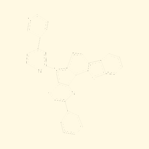 c1ccc(-c2ccc3c(n2)c2c4sc5ccccc5c4ccc2n3-c2cc(-c3cccnc3)ccn2)cc1